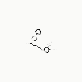 CCCCC(CCCCC(=O)c1ccc(OC)c(S(N)(=O)=O)c1)N1CCN(c2ccccc2)CC1